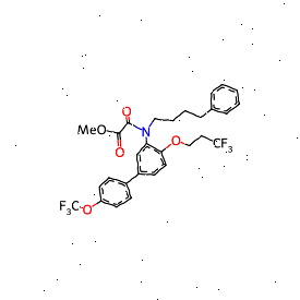 COC(=O)C(=O)N(CCCCc1ccccc1)c1cc(-c2ccc(OC(F)(F)F)cc2)ccc1OCCC(F)(F)F